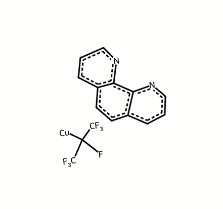 FC(F)(F)[C](F)([Cu])C(F)(F)F.c1cnc2c(c1)ccc1cccnc12